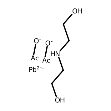 CC(=O)[O-].CC(=O)[O-].OCCNCCO.[Pb+2]